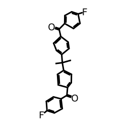 CC(C)(c1ccc(C(=O)c2ccc(F)cc2)cc1)c1ccc(C(=O)c2ccc(F)cc2)cc1